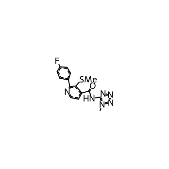 CSc1c(C(=O)Nc2nnnn2C)ccnc1-c1ccc(F)cc1